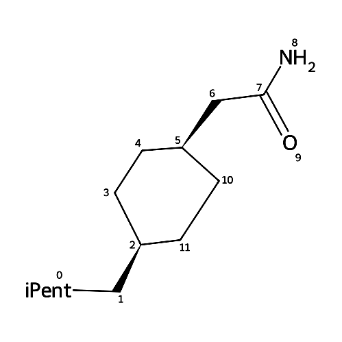 CCCC(C)C[C@H]1CC[C@@H](CC(N)=O)CC1